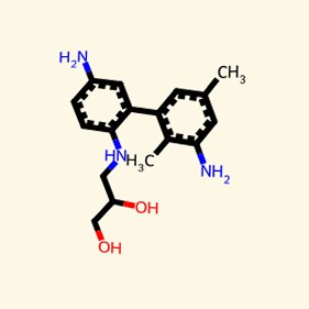 Cc1cc(N)c(C)c(-c2cc(N)ccc2NCC(O)CO)c1